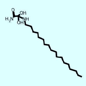 CCCCCCCCCCCCCCCCCCNC(O)(O)C(N)=O